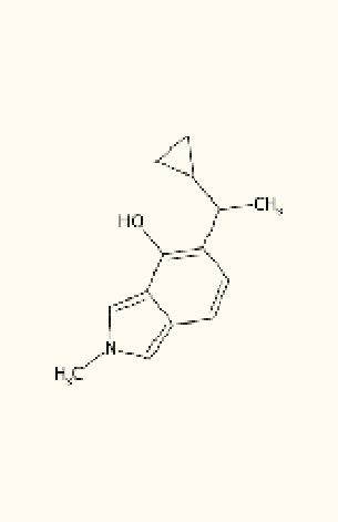 CC(c1ccc2cn(C)cc2c1O)C1CC1